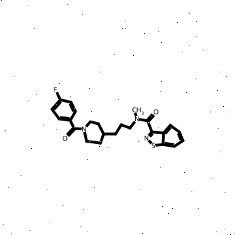 CN(CCCC1CCN(C(=O)c2ccc(F)cc2)CC1)C(=O)c1nsc2ccccc12